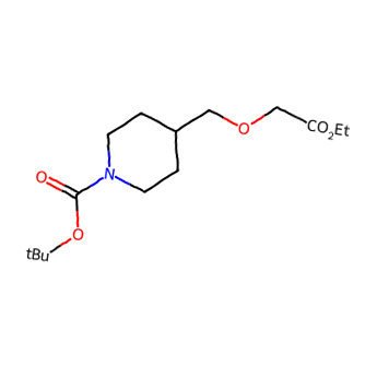 CCOC(=O)COCC1CCN(C(=O)OC(C)(C)C)CC1